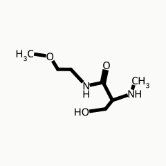 CNC(CO)C(=O)NCCOC